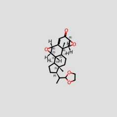 CC(C1OCCO1)[C@H]1CC[C@H]2[C@@H]3[C@@H]4O[C@@H]4C4=CC(=O)[C@@H]5O[C@@H]5[C@]4(C)[C@H]3CC[C@]12C